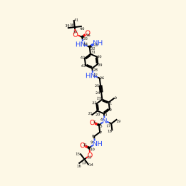 Cc1cc(N(C(=O)CCNC(=O)OC(C)(C)C)C(C)C)c(C)cc1C#CCNc1ccc(C(=N)NC(=O)OC(C)(C)C)cc1